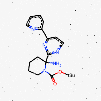 CC(C)(C)OC(=O)N1CCCCC1(N)c1nccc(-c2ccccn2)n1